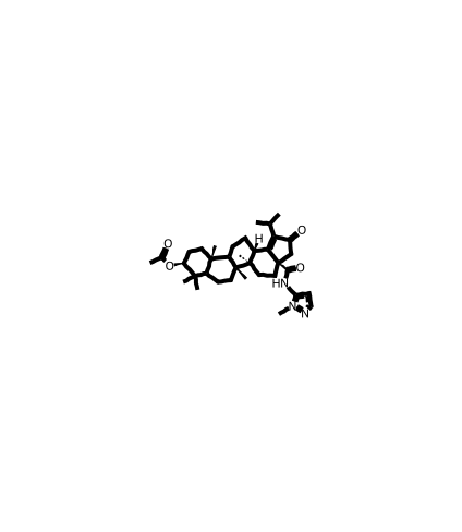 CC(=O)O[C@H]1CC[C@@]2(C)C(CC[C@]3(C)C2CC[C@@H]2C4=C(C(C)C)C(=O)C[C@]4(C(=O)Nc4ccnn4C)CC[C@]23C)C1(C)C